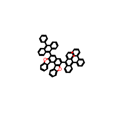 c1ccc(-c2ccccc2-c2c3ccccc3c(-c3cc4cc(-c5c6ccccc6c(-c6ccccc6)c6ccccc56)c5oc6ccccc6c5c4c4c3oc3ccccc34)c3ccccc23)cc1